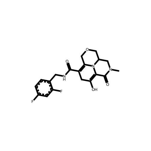 CN1CC2COCC3=C(C(=O)NCc4ccc(F)cc4F)CC(O)=C(C1=O)N32